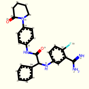 N=C(N)c1cc(NC(C(=O)Nc2ccc(N3CCCCC3=O)cc2)c2ccccc2)ccc1F